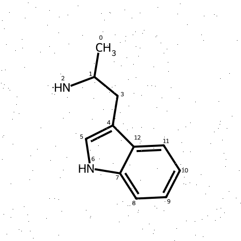 CC([NH])Cc1c[nH]c2ccccc12